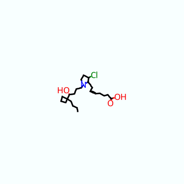 CCCCC1(C(O)CCCN2CCC(Cl)C2C/C=C\CCCC(=O)O)CCC1